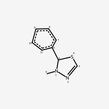 CN1N=CSC1c1ccccc1